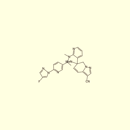 CNC1(c2cccnc2N(C)C(C)c2ccc(-n3cc(F)cn3)nc2)C=Cc2c(C#N)cnn2C1